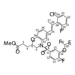 COC(=O)CCC1CN(S(=O)(=O)c2ccc(F)c(OC(F)F)c2)c2cc(/C=C(\C)c3c(F)cccc3Cl)ccc2O1